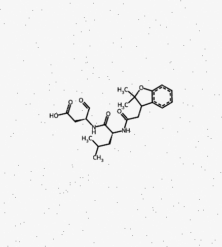 CC(C)C[C@H](NC(=O)CC1c2ccccc2OC1(C)C)C(=O)N[C@H](C=O)CC(=O)O